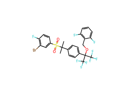 CC(C)(c1ccc(C(OCc2c(F)cccc2F)(C(F)(F)F)C(F)(F)F)cc1)S(=O)(=O)c1ccc(F)c(Br)c1